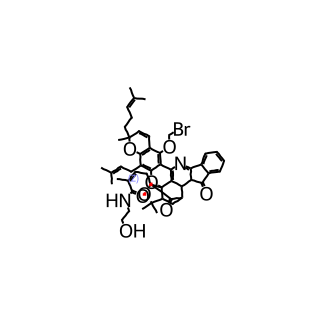 CC(C)=CCCC1(C)C=Cc2c(c(CC=C(C)C)c3c(c2OCBr)C2=C4C(C5CC6C(C)(C)OC(C/C=C(/C)C(=O)NCCO)(C5=O)C46O3)C3C(=O)c4ccccc4C3=N2)O1